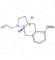 C=CCN1CC[C@H]2Cc3c(cccc3OC)C[C@@H]21